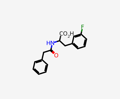 O=C(Cc1ccccc1)NC(Cc1cccc(F)c1)C(=O)O